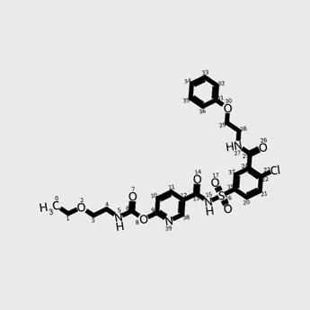 CCOCCNC(=O)Oc1ccc(C(=O)NS(=O)(=O)c2ccc(Cl)c(C(=O)NCCOc3ccccc3)c2)cn1